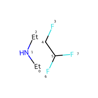 CCNCC.FCC(F)F